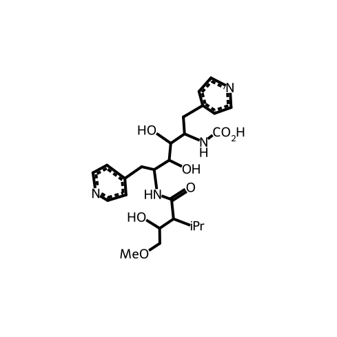 COCC(O)C(C(=O)NC(Cc1ccncc1)C(O)C(O)C(Cc1ccncc1)NC(=O)O)C(C)C